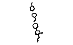 CC[C@H]1CC[C@H](C2CCC(CC[C@H]3CC[C@H](c4ccc(CCF)c(F)c4)CC3)CC2)CC1